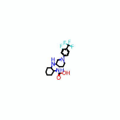 O=C(O)NC1CCCCC1NC1CCCN(c2ccc(C(F)(F)F)c(F)c2)C1